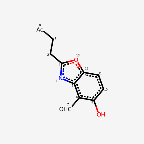 CC(=O)CCc1nc2c(C=O)c(O)ccc2o1